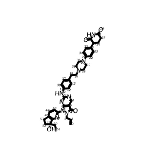 C=CCn1c(=O)c2cnc(Nc3ccc(CCN4CCN(c5ccc(C6CCC(=O)NC6=O)cc5)CC4)cc3)nc2n1-c1ccc2c(n1)[C@@](O)(CI)CC2